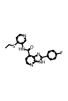 CCSc1ccncc1NC(=O)c1ccnc2[nH]c(-c3ccc(F)cc3)nc12